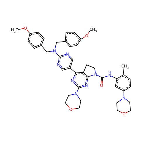 COc1ccc(CN(Cc2ccc(OC)cc2)c2ncc(-c3nc(N4CCOCC4)nc4c3CCN4C(=O)Nc3cc(N4CCOCC4)ccc3C)cn2)cc1